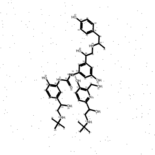 CC(C)(C)NCC(O)c1ccc(O)c(CO)n1.CC(C)(C)NCC(O)c1ccc(O)c(NC(N)=O)c1.CC(Cc1ccc(O)cc1)NCC(O)c1cc(O)cc(O)c1